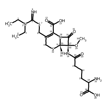 CCN(CC)C(=N)SCC1=C(C(=O)O)N2C(=O)[C@](NC(=O)CCCC(N)C(=O)O)(OC)[C@@H]2SC1